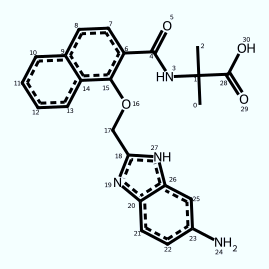 CC(C)(NC(=O)c1ccc2ccccc2c1OCc1nc2ccc(N)cc2[nH]1)C(=O)O